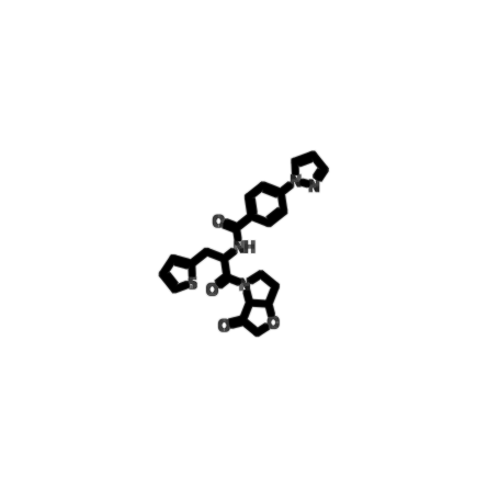 O=C(NC(Cc1cccs1)C(=O)N1CCC2OCC(=O)C21)c1ccc(-n2cccn2)cc1